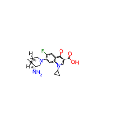 N[C@H]1CN(c2cc3c(cc2F)c(=O)c(C(=O)O)cn3C2CC2)C[C@H]2C[C@H]21